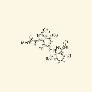 CCNc1nn(Cc2cc(C(C)(C)C)c3c(c(NC(=O)OC)nn3C)c2Cl)c2c(C(C)(C)C)ccc(Cl)c12